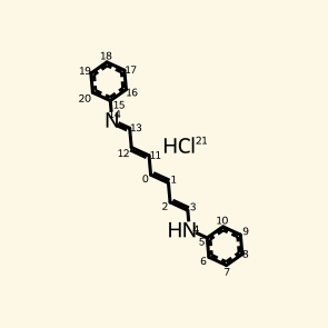 C(=CC=CNc1ccccc1)C=CC=Nc1ccccc1.Cl